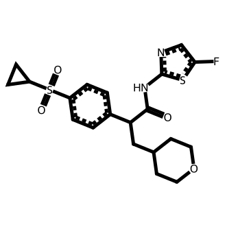 O=C(Nc1ncc(F)s1)C(CC1CCOCC1)c1ccc(S(=O)(=O)C2CC2)cc1